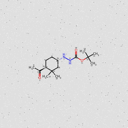 CC(=O)[C@H]1CC[C@H](NNC(=O)OC(C)(C)C)CC1(C)C